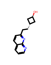 O[C@H]1C[C@H](CCc2ccc3cccnc3n2)C1